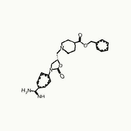 N=C(N)c1ccc(N2C[C@H](CN3CCC(C(=O)OCc4ccccc4)CC3)OC2=O)cc1